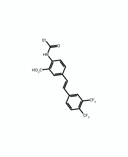 CCC(=O)Nc1ccc(C=Cc2ccc(C(F)(F)F)c(C(F)(F)F)c2)cc1C(=O)O